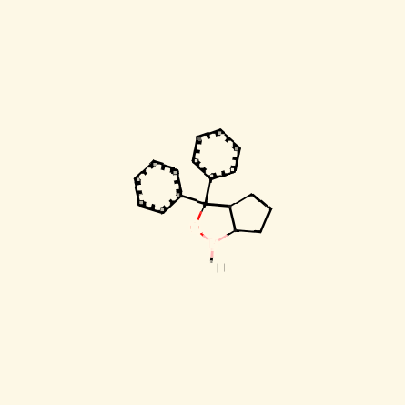 CB1OC(c2ccccc2)(c2ccccc2)C2CCCC12